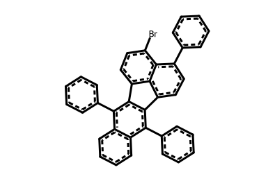 Brc1ccc2c3c(ccc(-c4ccccc4)c13)-c1c-2c(-c2ccccc2)c2ccccc2c1-c1ccccc1